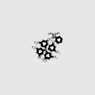 CCC[N+](CCC)(CCC)c1ccccc1.FC(F)(F)c1cc([B-](c2cc(C(F)(F)F)cc(C(F)(F)F)c2)(c2cc(C(F)(F)F)cc(C(F)(F)F)c2)c2cc(C(F)(F)F)cc(C(F)(F)F)c2)cc(C(F)(F)F)c1